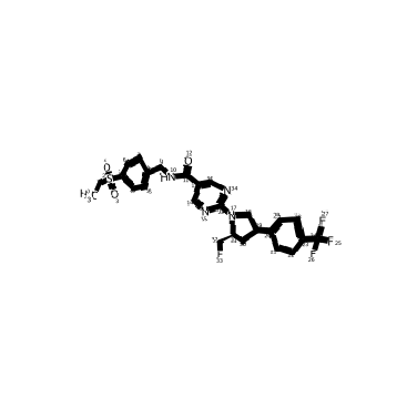 CCS(=O)(=O)c1ccc(CNC(=O)c2cnc(N3CC(c4ccc(C(F)(F)F)cc4)C[C@H]3CF)nc2)cc1